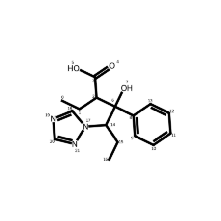 CCC(C(=O)O)C(O)(c1ccccc1)C(CC)n1cncn1